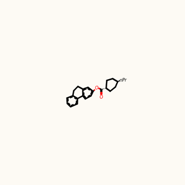 CCC[C@H]1CC[C@H](C(=O)Oc2ccc3c(c2)CCc2ccccc2-3)CC1